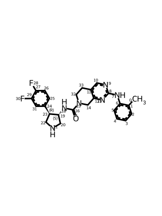 Cc1ccccc1Nc1ncc2c(n1)CN(C(=O)N[C@@H]1CNC[C@H]1c1ccc(F)c(F)c1)CC2